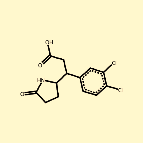 O=C(O)CC(c1ccc(Cl)c(Cl)c1)C1CCC(=O)N1